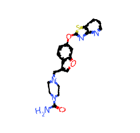 NC(=O)N1CCN(Cc2coc3cc(Oc4nc5ncccc5s4)ccc23)CC1